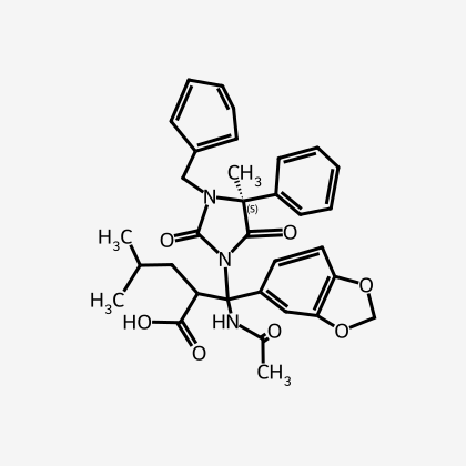 CC(=O)NC(c1ccc2c(c1)OCO2)(C(CC(C)C)C(=O)O)N1C(=O)N(Cc2ccccc2)[C@@](C)(c2ccccc2)C1=O